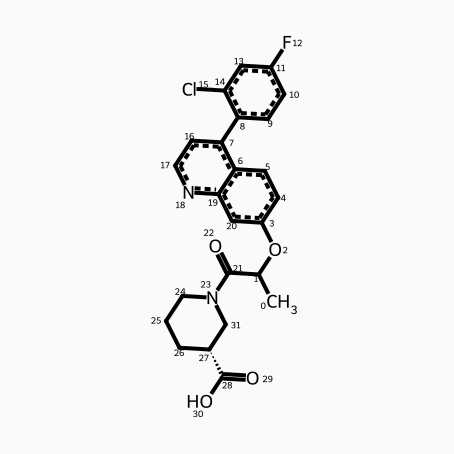 CC(Oc1ccc2c(-c3ccc(F)cc3Cl)ccnc2c1)C(=O)N1CCC[C@@H](C(=O)O)C1